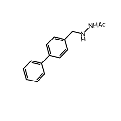 CC(=O)NNCc1ccc(-c2ccccc2)cc1